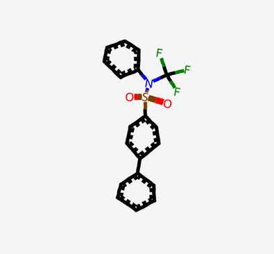 O=S(=O)(c1ccc(-c2ccccc2)cc1)N(c1ccccc1)C(F)(F)F